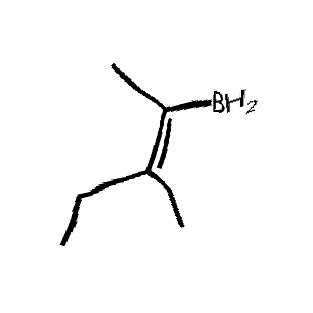 B/C(C)=C(\C)CC